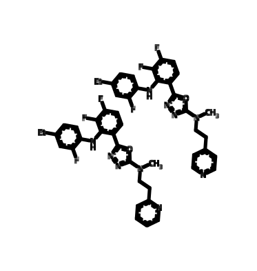 CCc1ccc(Nc2c(-c3nnc(N(C)CCc4ccccn4)o3)ccc(F)c2F)c(F)c1.CCc1ccc(Nc2c(-c3nnc(N(C)CCc4ccncc4)o3)ccc(F)c2F)c(F)c1